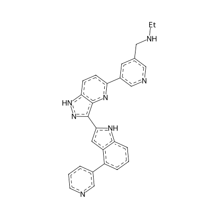 CCNCc1cncc(-c2ccc3[nH]nc(-c4cc5c(-c6cccnc6)cccc5[nH]4)c3n2)c1